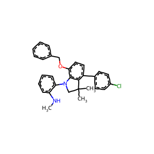 CNc1ccccc1N1CC(C)(C)c2c(-c3ccc(Cl)cc3)ccc(OCc3ccccc3)c21